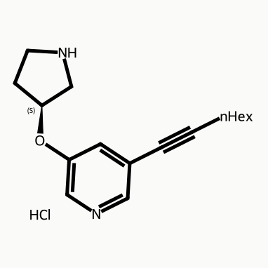 CCCCCCC#Cc1cncc(O[C@H]2CCNC2)c1.Cl